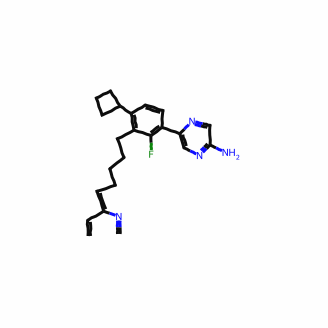 C=C/C(=C/CCCCc1c(C2CCC2)ccc(-c2cnc(N)cn2)c1F)N=C